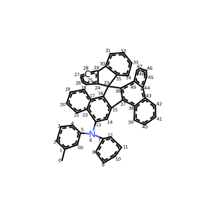 Cc1cccc(N(c2ccccc2)c2cc3c(c4ccccc24)C2(c4ccccc4-c4ccccc42)c2c-3c3ccccc3c3ccccc23)c1